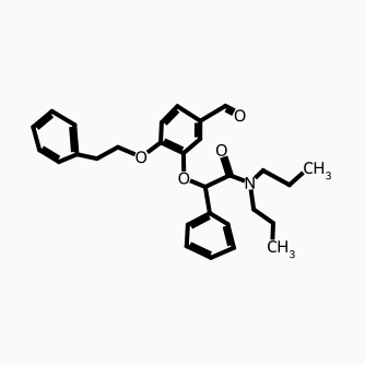 CCCN(CCC)C(=O)C(Oc1cc(C=O)ccc1OCCc1ccccc1)c1ccccc1